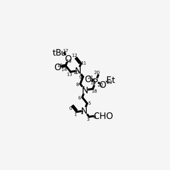 C=CN(CC=O)CCN(CCN(C=C)CC(=O)OC(C)(C)C)CP(C)(=O)OCC